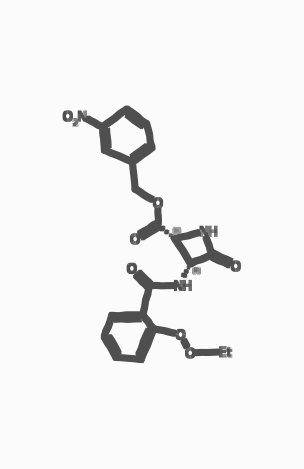 CCOOc1ccccc1C(=O)N[C@H]1C(=O)N[C@H]1C(=O)OCc1cccc([N+](=O)[O-])c1